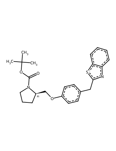 CC(C)(C)OC(=O)N1CCC[C@@H]1COc1ccc(Cc2nc3ccccc3s2)cc1